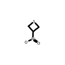 O=[N+]([O-])C1CSC1